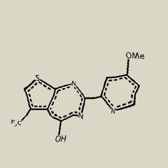 COc1ccnc(-c2nc(O)c3c(C(F)(F)F)csc3n2)c1